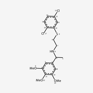 COc1cc(C(C)NCCSc2cc(Cl)ccc2Cl)cc(OC)c1OC